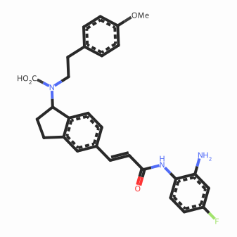 COc1ccc(CCN(C(=O)O)C2CCc3cc(/C=C/C(=O)Nc4ccc(F)cc4N)ccc32)cc1